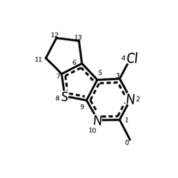 Cc1nc(Cl)c2c3c(sc2n1)CCC3